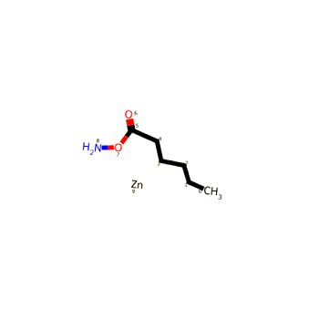 CCCCCC(=O)ON.[Zn]